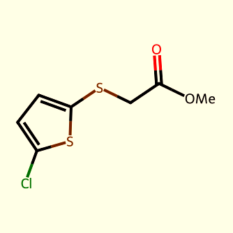 COC(=O)CSc1ccc(Cl)s1